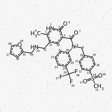 Cc1[nH]c(=O)c(C(=O)N(Cc2ccc(S(C)(=O)=O)cc2)c2cccc(C(F)(F)F)c2)cc1CNCc1ccco1